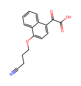 N#CCCCOc1ccc(C(=O)C(=O)O)c2ccccc12